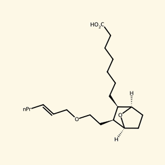 CCC/C=C/COCC[C@H]1[C@@H](CCCCCCC(=O)O)[C@H]2CC[C@@H]1O2